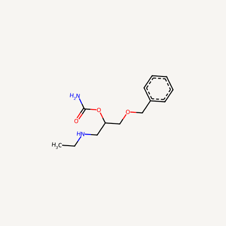 CCNCC(COCc1ccccc1)OC(N)=O